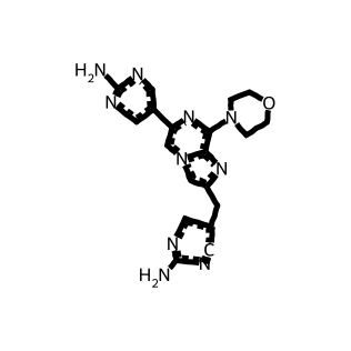 Nc1ncc(Cc2cn3cc(-c4cnc(N)nc4)nc(N4CCOCC4)c3n2)cn1